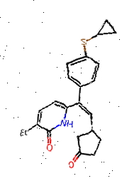 CCc1ccc(/C(=C\[C@H]2CCC(=O)C2)c2ccc(SC3CC3)cc2)[nH]c1=O